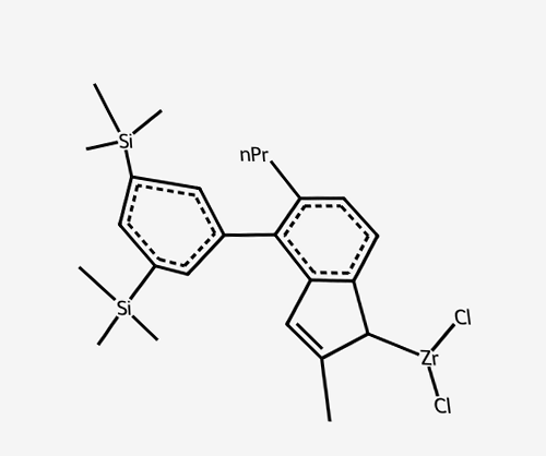 CCCc1ccc2c(c1-c1cc([Si](C)(C)C)cc([Si](C)(C)C)c1)C=C(C)[CH]2[Zr]([Cl])[Cl]